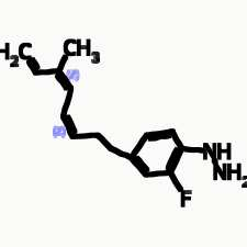 C=C/C(C)=C\C=C/CCc1ccc(NN)c(F)c1